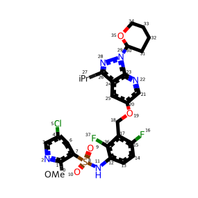 COc1ncc(Cl)cc1S(=O)(=O)Nc1ccc(F)c(COc2cnc3c(c2)c(C(C)C)nn3C2CCCCO2)c1F